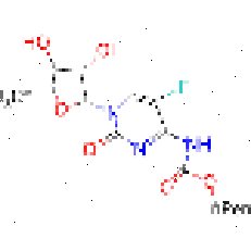 CCCCCOC(=O)Nc1nc(=O)n([C@@H]2O[C@H](C)C(O)[C@@H]2O)cc1F